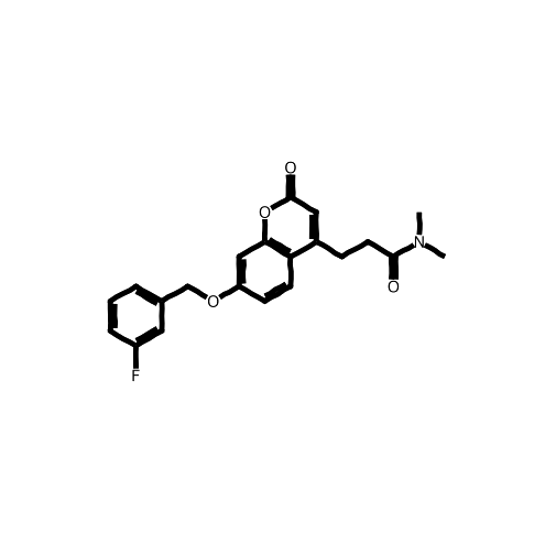 CN(C)C(=O)CCc1cc(=O)oc2cc(OCc3cccc(F)c3)ccc12